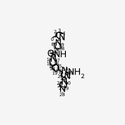 Cc1cccnc1N1CCC(NC(=O)N2CCc3ccc(-c4cc(N5CCN(C)CC5)nc(N)n4)cc3C2)CC1